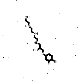 OCCNCCNCCNCC(O)COc1ccc(Br)c(F)c1